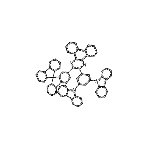 c1ccc2c(c1)-c1ccccc1C21c2ccccc2-c2ccc(-c3nc4c5ccccc5c5ccccc5c4nc3-c3cc(-n4c5ccccc5c5ccccc54)cc(-n4c5ccccc5c5ccccc54)c3)cc21